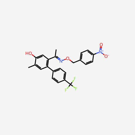 C/C(=N\OCc1ccc([N+](=O)[O-])cc1)c1cc(O)c(C)cc1-c1ccc(C(F)(F)F)cc1